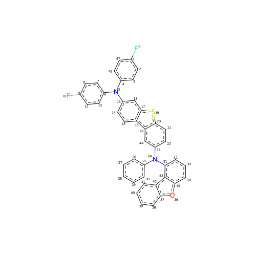 Fc1ccc(N(c2ccc(F)cc2)c2ccc3c(c2)sc2ccc(N(c4ccccc4)c4cccc5oc6ccccc6c45)cc23)cc1